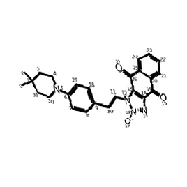 CC1(C)CCN(c2ccc(CCn3c4c(n[n+]3[O-])C(=O)c3ccccc3C4=O)cc2)CC1